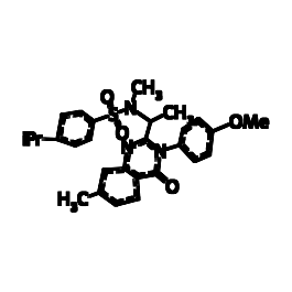 COc1ccc(-n2c(C(C)N(C)S(=O)(=O)c3ccc(C(C)C)cc3)nc3cc(C)ccc3c2=O)cc1